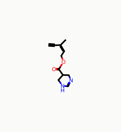 C#CC(C)=CCOC(=O)C1CN=CNC1